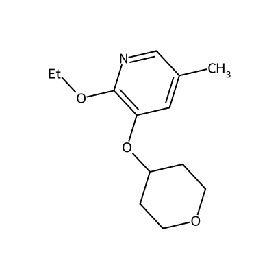 CCOc1ncc(C)cc1OC1CCOCC1